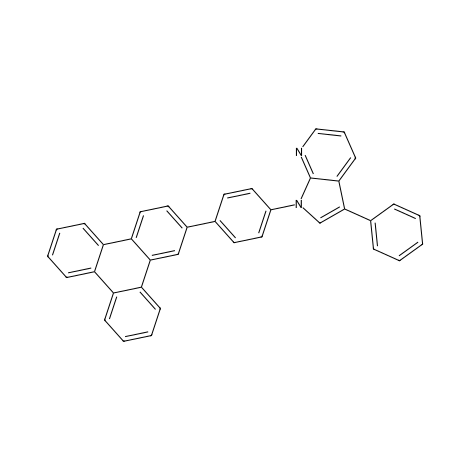 c1ccc(-c2cn(-c3ccc(-c4ccc5c6ccccc6c6ccccc6c5c4)cc3)c3ncccc23)cc1